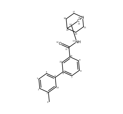 Cc1cccc(-c2cccc(C(=O)NC3CN4CCC3CC4)c2)c1